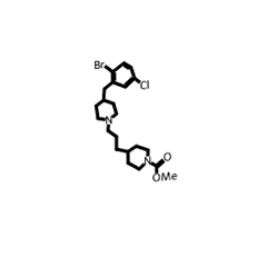 COC(=O)N1CCC(CCCN2CCC(Cc3cc(Cl)ccc3Br)CC2)CC1